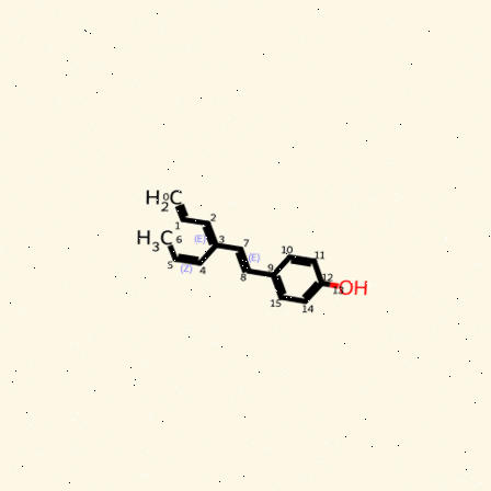 C=C/C=C(\C=C/C)/C=C/c1ccc(O)cc1